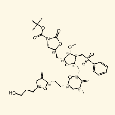 C=C1C[C@H](CCCO)O[C@H]1CC[C@H]1C[C@@H](C)C(=C)[C@@H](C[C@@H]2O[C@H](C[C@H]3CN(C(=O)OC(C)(C)C)C(=O)O3)[C@H](OC)[C@H]2CS(=O)(=O)c2ccccc2)O1